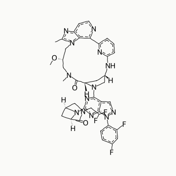 CO[C@H]1CN(C)C(=O)[C@@H]2C[C@@H](CN2c2nc(N3[C@H]4C[C@@H]3C(=O)N(CC(F)F)C4)nc3c2cnn3-c2ccc(F)cc2F)Nc2cccc(n2)-c2nccc3nc(C)n(c23)C1